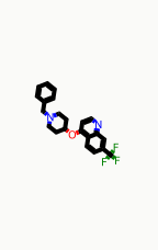 FC(F)(F)c1ccc2c(OC3CCN(Cc4ccccc4)CC3)ccnc2c1